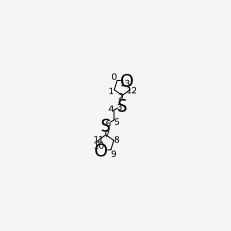 C1CC(SCCSC2CCOC2)CO1